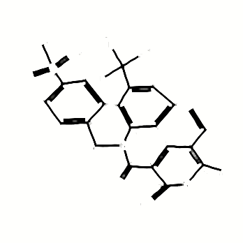 C=Cc1cc(C(=O)N(Cc2ccc(S(C)(=O)=O)cc2)c2cccc(C(F)(F)F)c2)c(=O)[nH]c1C